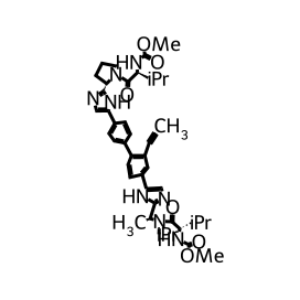 CC#Cc1cc(-c2cnc([C@H](C)N(C(=O)[C@@H](NC(=O)OC)C(C)C)C(C)C)[nH]2)ccc1-c1ccc(-c2cnc([C@@H]3CCCN3C(=O)[C@@H](NC(=O)OC)C(C)C)[nH]2)cc1